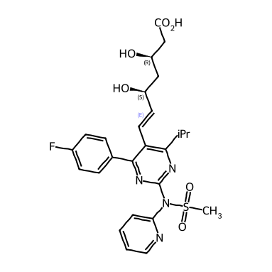 CC(C)c1nc(N(c2ccccn2)S(C)(=O)=O)nc(-c2ccc(F)cc2)c1/C=C/[C@@H](O)C[C@@H](O)CC(=O)O